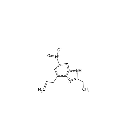 C=CCc1cc([N+](=O)[O-])cc2[nH]c(CC)nc12